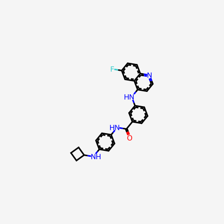 O=C(Nc1ccc(NC2CCC2)cc1)c1cccc(Nc2ccnc3ccc(F)cc23)c1